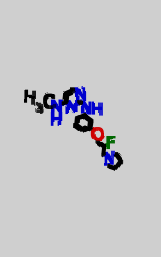 CNc1ccnc(Nc2cccc(OCC(F)CN3CCCC3)c2)n1